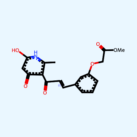 COC(=O)COc1cccc(/C=C/C(=O)c2c(C)[nH]c(O)cc2=O)c1